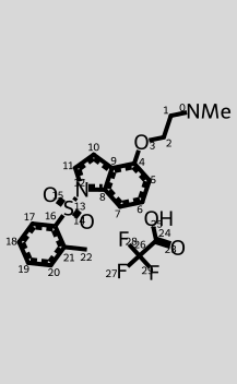 CNCCOc1cccc2c1ccn2S(=O)(=O)c1ccccc1C.O=C(O)C(F)(F)F